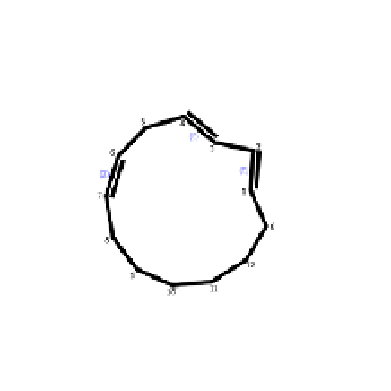 [CH]1/C=C/C=C/C/C=C\CCCCC1